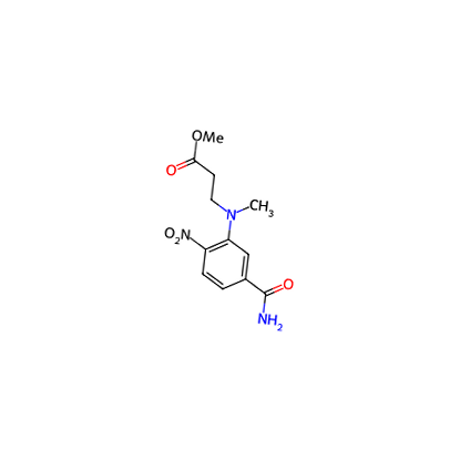 COC(=O)CCN(C)c1cc(C(N)=O)ccc1[N+](=O)[O-]